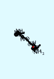 CCCCc1nc2c(N)nc3ccccc3c2n1Cc1ccc(CNC(=O)CCCCC(=O)NCc2ccc(Cn3c(CCCC)nc4c(N)nc5ccccc5c43)cc2)cc1